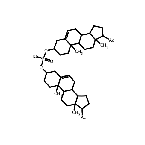 CC(=O)C1CCC2C3CC=C4CC(OP(=O)(O)OC5CCC6(C)C(=CCC7C6CCC6(C)C(C(C)=O)CCC76)C5)CCC4(C)C3CCC12C